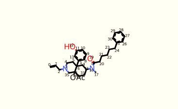 C=CCN1CCC2(c3cccc(O)c3)CC(N(C)C(=O)CCCCCc3ccccc3)CCC2(OC(C)=O)C1